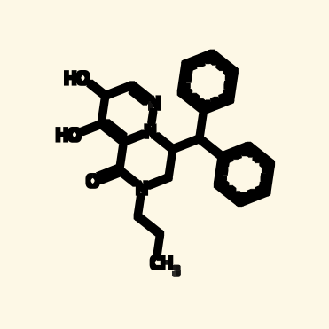 CCCN1CC(C(c2ccccc2)c2ccccc2)N2N=CC(O)C(O)=C2C1=O